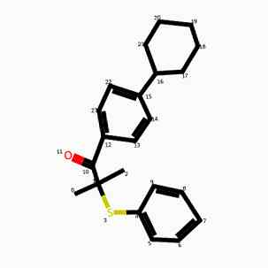 CC(C)(Sc1ccccc1)C(=O)c1ccc(C2CCCCC2)cc1